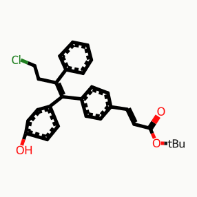 CC(C)(C)OC(=O)/C=C/c1ccc(/C(=C(/CCCl)c2ccccc2)c2ccc(O)cc2)cc1